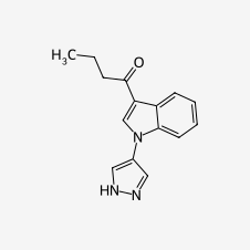 CCCC(=O)c1cn(-c2cn[nH]c2)c2ccccc12